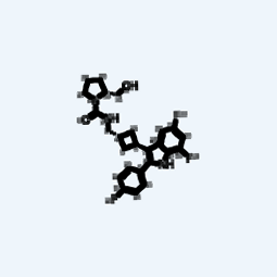 O=C(NC[C@H]1C[C@H](c2c(-c3ccc(F)cc3)[nH]c3c(F)cc(F)cc32)C1)N1CCC[C@@H]1CO